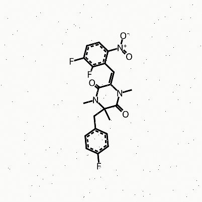 CN1C(=O)C(C)(Cc2ccc(F)cc2)N(C)C(=O)C1=Cc1c([N+](=O)[O-])ccc(F)c1F